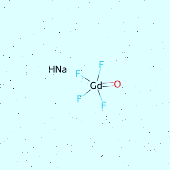 [NaH].[O]=[Gd]([F])([F])([F])[F]